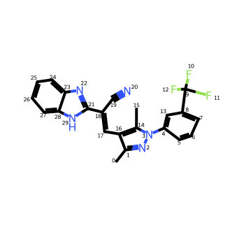 Cc1nn(-c2cccc(C(F)(F)F)c2)c(C)c1C=C(C#N)c1nc2ccccc2[nH]1